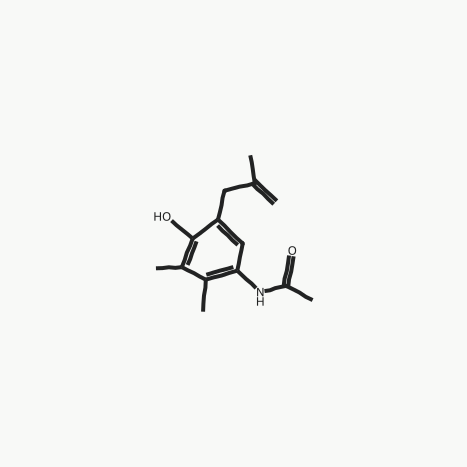 C=C(C)Cc1cc(NC(C)=O)c(C)c(C)c1O